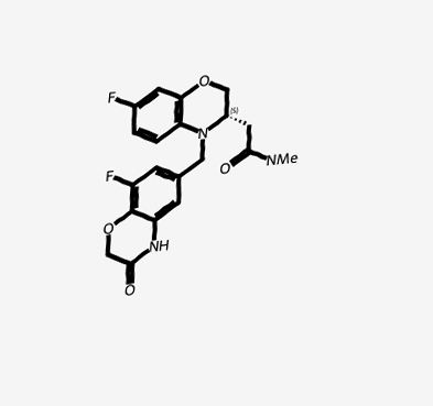 CNC(=O)C[C@H]1COc2cc(F)ccc2N1Cc1cc(F)c2c(c1)NC(=O)CO2